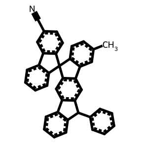 Cc1ccc2c(c1)-c1cc3c(cc1C21c2ccccc2-c2cc(C#N)ccc21)-c1ccccc1C3c1ccccc1